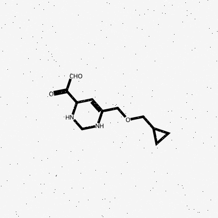 O=CC(=O)C1C=C(COCC2CC2)NCN1